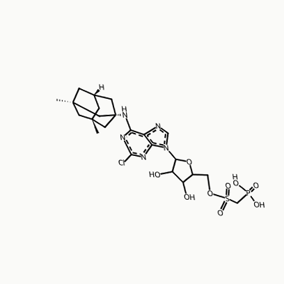 C[C@]12C[C@@H]3C[C@](C)(C1)C[C@@](Nc1nc(Cl)nc4c1ncn4C1OC(COS(=O)(=O)CP(=O)(O)O)C(O)C1O)(C3)C2